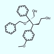 COc1ccc([C@H](CCO)[C@@](CO)(OCc2ccccc2)c2ccccc2)cc1